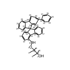 CC(C)(O)C(C)(C)OBc1cccc2c1-c1ccccc1C21c2ccccc2-c2ccc(-c3ccccc3)cc21